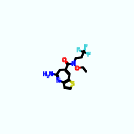 CCON(CCC(F)(F)F)C(=O)C1=Cc2sccc2N=C(N)C1